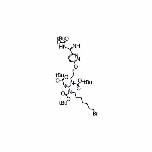 CC(C)(C)OC(=O)/N=C(/N(CCCCCCCBr)C(=O)OC(C)(C)C)N(CCCOc1ccc(C(=N)NC(=O)OC(C)(C)C)nn1)C(=O)OC(C)(C)C